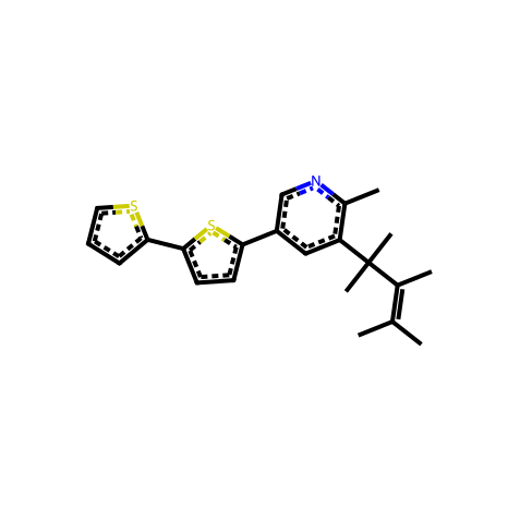 CC(C)=C(C)C(C)(C)c1cc(-c2ccc(-c3cccs3)s2)cnc1C